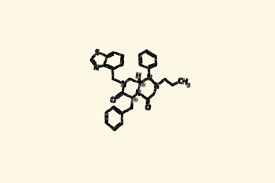 CCCN1CC(=O)N2[C@@H](Cc3ccccc3)C(=O)N(Cc3cccc4scnc34)C[C@@H]2N1c1ccccc1